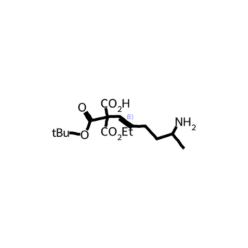 CCOC(=O)C(/C=C/CCC(C)N)(C(=O)O)C(=O)OC(C)(C)C